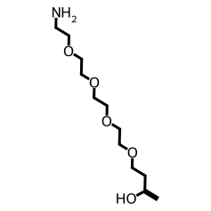 C=C(O)CCOCCOCCOCCOCCN